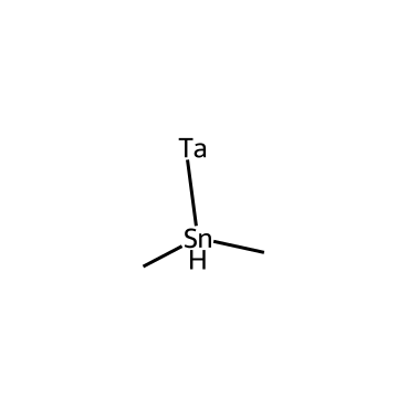 [CH3][SnH]([CH3])[Ta]